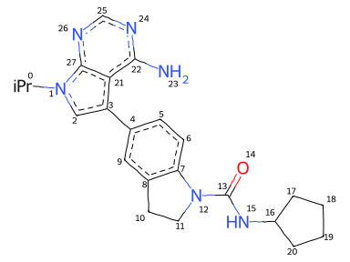 CC(C)n1cc(-c2ccc3c(c2)CCN3C(=O)NC2CCCC2)c2c(N)ncnc21